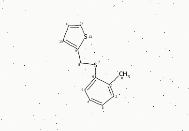 Cc1ccccc1SCc1cccs1